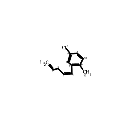 C=CC/C=C\c1cc(Cl)ccc1C